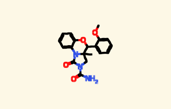 COc1ccccc1C1Oc2ccccc2N2C(=O)N(C(N)=O)CC12C